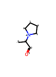 [CH2]C(C=O)N1CCCC1